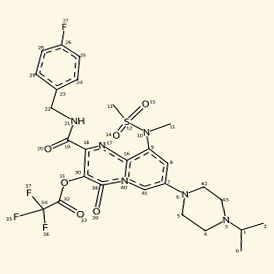 CC(C)N1CCN(c2cc(N(C)S(C)(=O)=O)c3nc(C(=O)NCc4ccc(F)cc4)c(OC(=O)C(F)(F)F)c(=O)n3c2)CC1